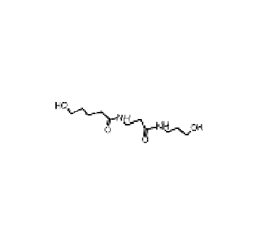 O=C(CCCCO)NCCC(=O)NCCCO